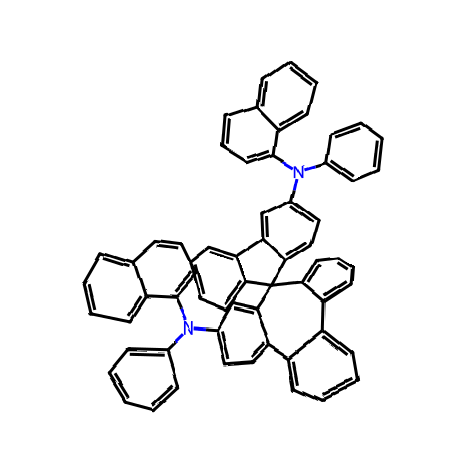 c1ccc(N(c2ccc3c(c2)-c2ccccc2C32c3ccccc3-c3ccccc3-c3ccc(N(c4ccccc4)c4cccc5ccccc45)cc32)c2cccc3ccccc23)cc1